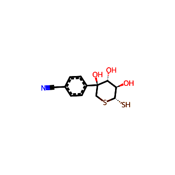 N#Cc1ccc([C@@]2(O)CS[C@@H](S)[C@H](O)[C@H]2O)cc1